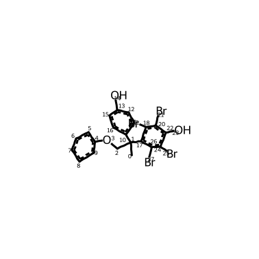 CC(COc1ccccc1)(c1ccc(O)cc1)c1c(Br)c(Br)c(O)c(Br)c1Br